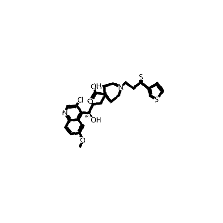 COc1ccc2ncc(Cl)c([C@H](O)CCC3(C(=O)O)CCN(CCC(=S)c4ccsc4)CC3)c2c1